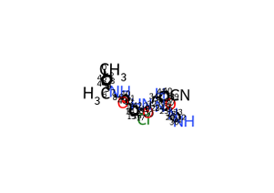 Cc1ccc([C@@H](C)NCc2ccc(-c3ccc(Cl)c(C(=O)N[C@@H](CNCC(=O)N4CCNCC4)Cc4ccc(C#N)cc4)c3)o2)cc1